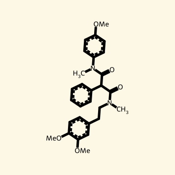 COc1ccc(N(C)C(=O)C(C(=O)N(C)CCc2ccc(OC)c(OC)c2)c2ccccc2)cc1